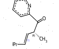 CC(C)/C=C/[C@@H](C)C(=O)c1ccccn1